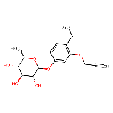 C#CCOc1cc(O[C@@H]2O[C@H](C(=O)O)[C@@H](O)[C@H](O)[C@H]2O)ccc1COC(C)=O